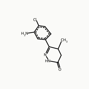 CC1CC(=O)NN=C1c1ccc(Cl)c(N)c1